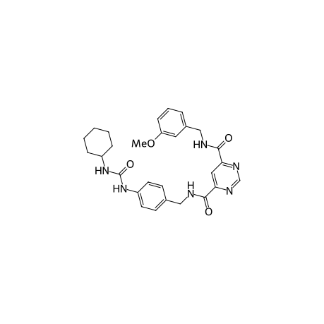 COc1cccc(CNC(=O)c2cc(C(=O)NCc3ccc(NC(=O)NC4CCCCC4)cc3)ncn2)c1